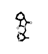 Cc1cncnc1CN1C(=O)c2ccccc2C1=O